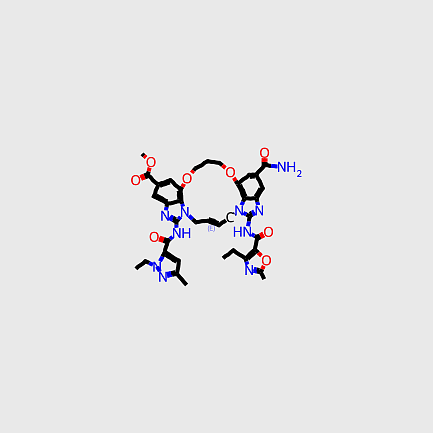 CCc1nc(C)oc1C(=O)Nc1nc2cc(C(N)=O)cc3c2n1C/C=C/Cn1c(NC(=O)c2cc(C)nn2CC)nc2cc(C(=O)OC)cc(c21)OCCCO3